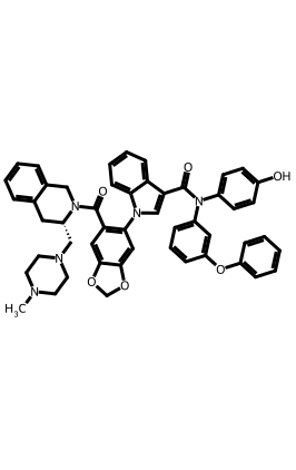 CN1CCN(C[C@@H]2Cc3ccccc3CN2C(=O)c2cc3c(cc2-n2cc(C(=O)N(c4ccc(O)cc4)c4cccc(Oc5ccccc5)c4)c4ccccc42)OCO3)CC1